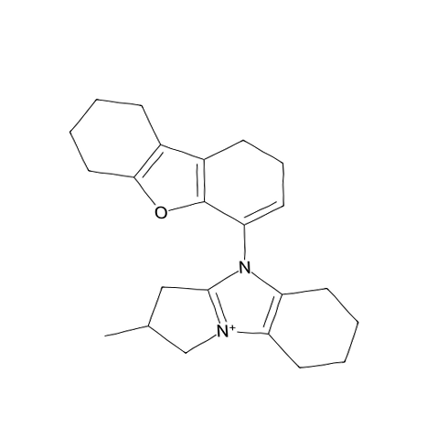 CC1Cc2n(C3=CCCc4c3oc3c4CCCC3)c3c([n+]2C1)CCCC3